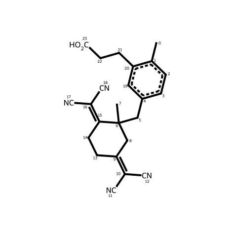 Cc1ccc(CC2(C)CC(=C(C#N)C#N)CCC2=C(C#N)C#N)cc1CCC(=O)O